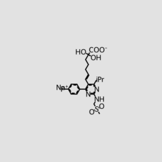 CC(C)c1nc(NCS(C)(=O)=O)nc(-c2ccc(F)cc2)c1C=CCCCC(O)(O)C(=O)[O-].[Na+]